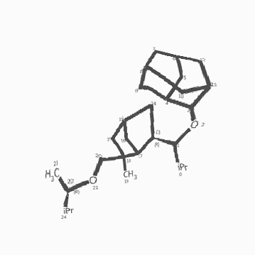 CC(C)C(OC1C2CC3CC(C2)CC1C3)[C@@H]1CC2CC1C(C)(CO[C@H](C)C(C)C)C2